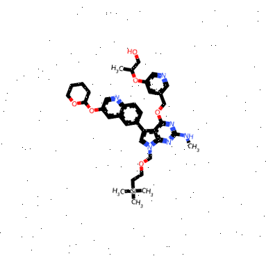 CNc1nc(OCc2cncc(OC(C)CO)c2)c2c(-c3ccc4ncc(OC5CCCCO5)cc4c3)cn(COCC[Si](C)(C)C)c2n1